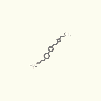 CCCCCC1CCC(c2ccc(CCC3CC(CCC)C3)cc2)CC1